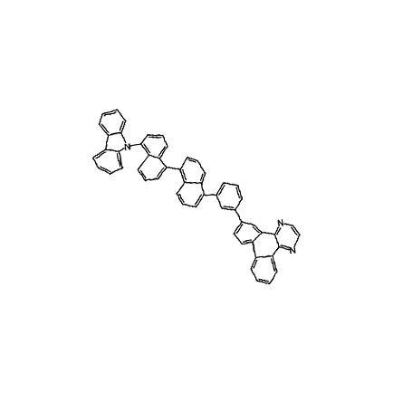 c1cc(-c2ccc3c4ccccc4c4nccnc4c3c2)cc(-c2cccc3c(-c4cccc5c(-n6c7ccccc7c7ccccc76)cccc45)cccc23)c1